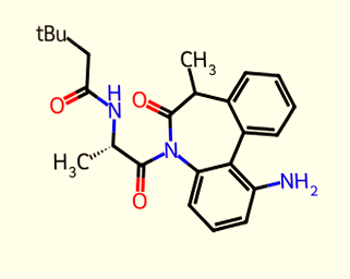 CC1C(=O)N(C(=O)[C@H](C)NC(=O)CC(C)(C)C)c2cccc(N)c2-c2ccccc21